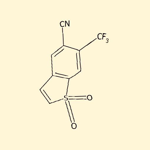 N#Cc1cc2c(cc1C(F)(F)F)S(=O)(=O)C=C2